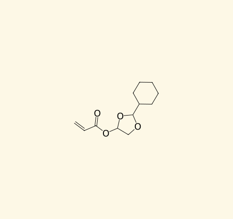 C=CC(=O)OC1COC(C2CCCCC2)O1